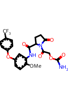 COc1ccc(Oc2ccc(C(F)(F)F)cc2)cc1NC(=O)C1CCC(=O)N1C(=O)COC(N)=O